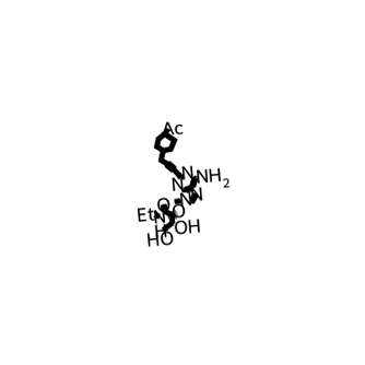 CCNC(=O)[C@@H](OCn1cnc2c(N)nc(C#CCC3CCC(C(C)=O)CC3)nc21)C(O)CO